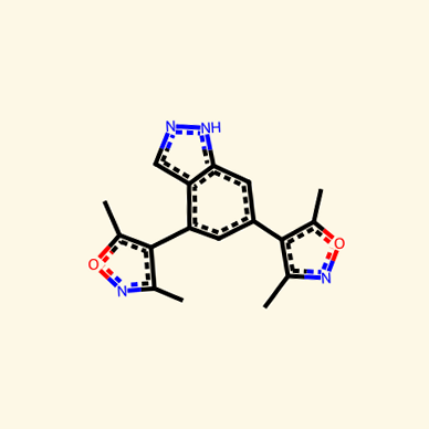 Cc1noc(C)c1-c1cc(-c2c(C)noc2C)c2cn[nH]c2c1